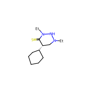 CCN1C[C@H](C2CCCCC2)C(=S)N(CC)N1